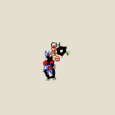 COc1ccc(F)cc1S(=O)(=O)CCC(=O)N1CC2CCC(C1)N2c1ccc(C#N)cn1